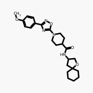 COc1ccc(-c2noc(N3CCC(C(=O)NC4COC5(CCCCC5)C4)CC3)n2)cc1